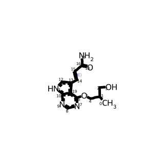 CC(CO)COc1ncnc2[nH]cc(/C=C/C(N)=O)c12